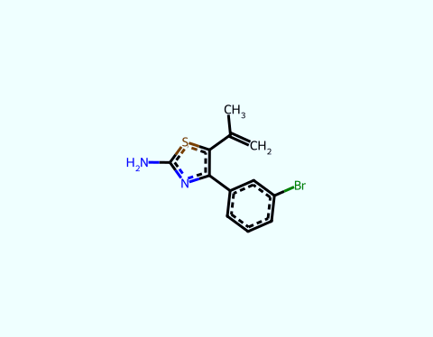 C=C(C)c1sc(N)nc1-c1cccc(Br)c1